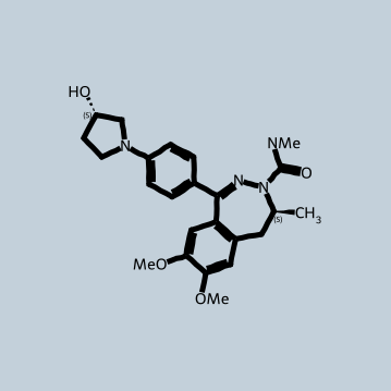 CNC(=O)N1N=C(c2ccc(N3CC[C@H](O)C3)cc2)c2cc(OC)c(OC)cc2C[C@@H]1C